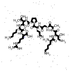 C[C@H](NC(=O)[C@@H](NC(=O)[C@@H](N)CCCCN)[C@@H](O)CN)C(=O)NCC(=O)N[C@H](CCCN)C(=O)N1CCC[C@H]1C(=O)NC(C(=O)N[C@@H](CCCCN)C(=O)N/C(=C\CCNC(=N)N)C(=O)O)[C@@H](C)O